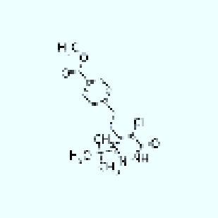 COC(=O)c1ccc(CCc2c(C(C)(C)C)n[nH]c(=O)c2Cl)cc1